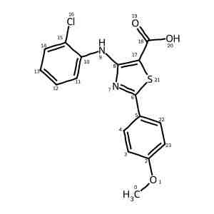 COc1ccc(-c2nc(Nc3ccccc3Cl)c(C(=O)O)s2)cc1